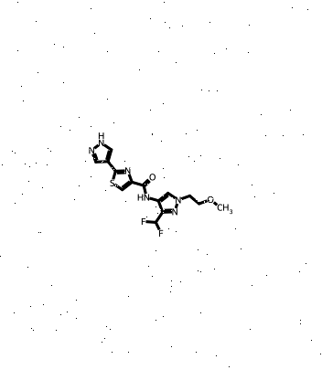 COCCn1cc(NC(=O)c2csc(-c3cn[nH]c3)n2)c(C(F)F)n1